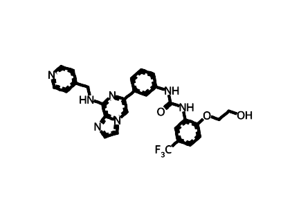 O=C(Nc1cccc(-c2cn3ccnc3c(NCc3ccncc3)n2)c1)Nc1cc(C(F)(F)F)ccc1OCCO